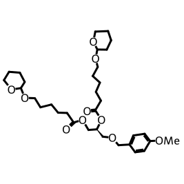 COc1ccc(COC[C@@H](COC(=O)CCCCCOC2CCCCO2)OC(=O)CCCCCOC2CCCCO2)cc1